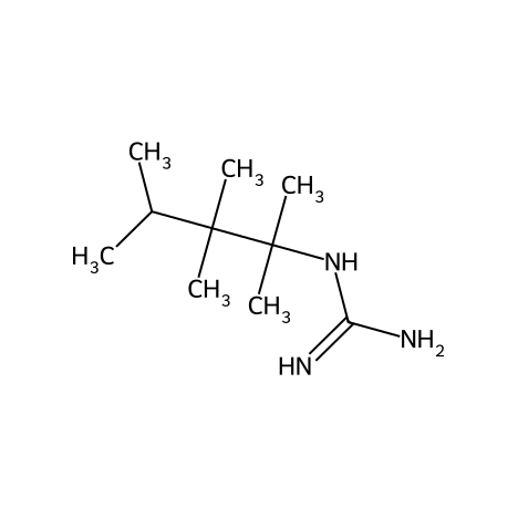 CC(C)C(C)(C)C(C)(C)NC(=N)N